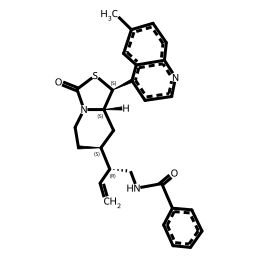 C=C[C@@H](CNC(=O)c1ccccc1)[C@H]1CCN2C(=O)S[C@@H](c3ccnc4ccc(C)cc34)[C@@H]2C1